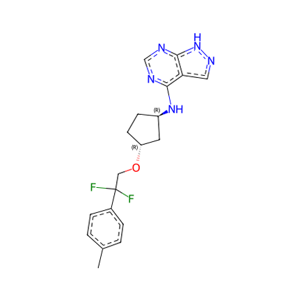 Cc1ccc(C(F)(F)CO[C@@H]2CC[C@@H](Nc3ncnc4[nH]ncc34)C2)cc1